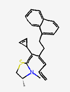 C=C/C=C(CCc1cccc2ccccc12)\C(=C1\SC[C@@H](C)N1C)C1C=C1